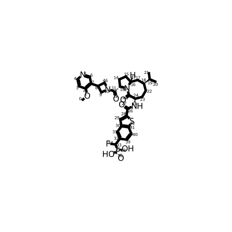 COc1ccncc1C1CN(C(=O)[C@@H]2CC[C@@H]3C[C@@H](C(C)C)CC[C@H](NC(=O)c4cc5cc(C(F)P(=O)(O)O)ccc5s4)C(=O)N32)C1